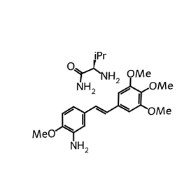 CC(C)[C@@H](N)C(N)=O.COc1ccc(C=Cc2cc(OC)c(OC)c(OC)c2)cc1N